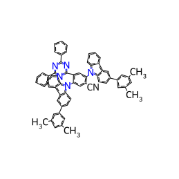 Cc1cc(C)cc(-c2ccc3c(c2)c2ccccc2n3-c2cc(-c3nc(-c4ccccc4)nc(-c4ccccc4)n3)c(-n3c4ccccc4c4cc(-c5cc(C)cc(C)c5)ccc43)cc2C#N)c1